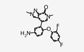 Cn1cc2c(-c3cc(N)ccc3Oc3ccc(F)cc3F)cn(C)c(=O)c2n1